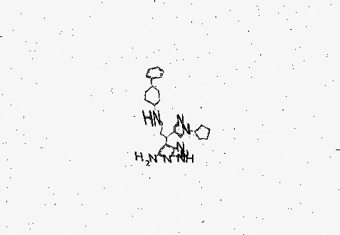 Nc1cc(C(CCN[C@H]2CC[C@H](c3ccccc3)CC2)c2cnn(C3CCCC3)c2)c2nn[nH]c2n1